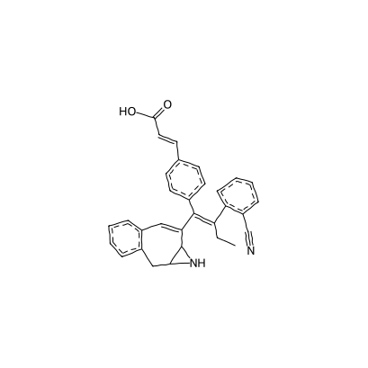 CC/C(=C(\C1=Cc2ccccc2CC2NC12)c1ccc(/C=C/C(=O)O)cc1)c1ccccc1C#N